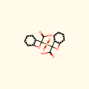 O=C(O)C1(S(=O)(=O)C2(C(=O)O)Oc3ccccc32)Oc2ccccc21